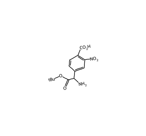 CC(C)(C)OC(=O)C(N)c1ccc(C(=O)O)c([N+](=O)[O-])c1